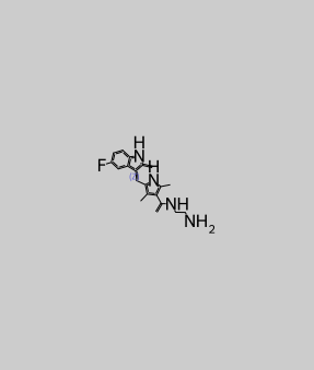 C=C(NCCN)c1c(C)[nH]c(/C=c2\c(=C)[nH]c3ccc(F)cc23)c1C